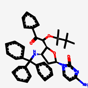 CC(C)(C)[Si](C)(C)OC(C(=O)c1ccccc1)[C@H]1O[C@@H](n2ccc(N)nc2=O)C[C@@H]1NC(c1ccccc1)(c1ccccc1)c1ccccc1